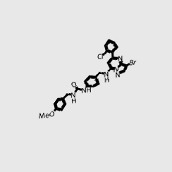 COc1ccc(CNC(=O)Nc2ccc(CNc3cc(-c4ccccc4Cl)nc4c(Br)cnn34)cc2)cc1